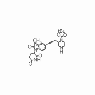 Cn1c(=O)n(C2CCC(=O)NC2=O)c2ccc(C#CCC3CNCCN3C(=O)OC(C)(C)C)cc21